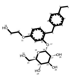 CCc1ccc(Cc2ccc(OCCO)cc2O[C@H]2O[C@H](CO)[C@@H](O)[C@H](O)[C@H]2O)cc1